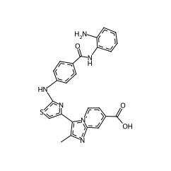 Cc1nc2cc(C(=O)O)ccn2c1-c1csc(Nc2ccc(C(=O)Nc3ccccc3N)cc2)n1